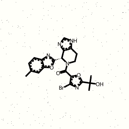 Cc1ccc2nc([C@@H]3c4nc[nH]c4CCN3C(=O)c3oc(C(C)(C)O)nc3Br)oc2c1